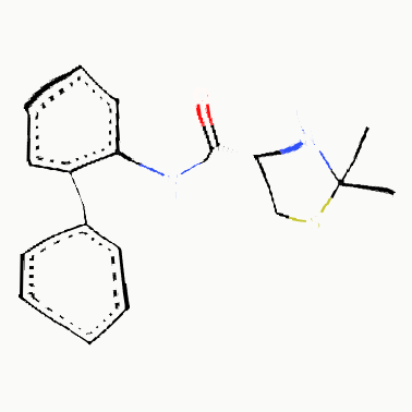 CC1(C)N[C@@H](C(=O)Nc2ccccc2-c2ccccc2)CS1